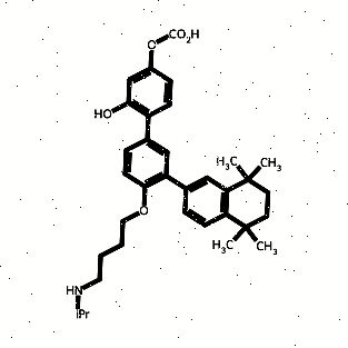 CC(C)NCCCCOc1ccc(-c2ccc(OC(=O)O)cc2O)cc1-c1ccc2c(c1)C(C)(C)CCC2(C)C